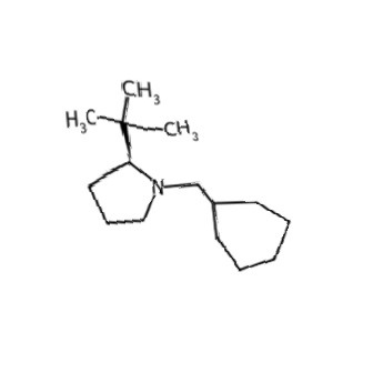 CC(C)(C)[C@@H]1CCCN1CC1CCCCC1